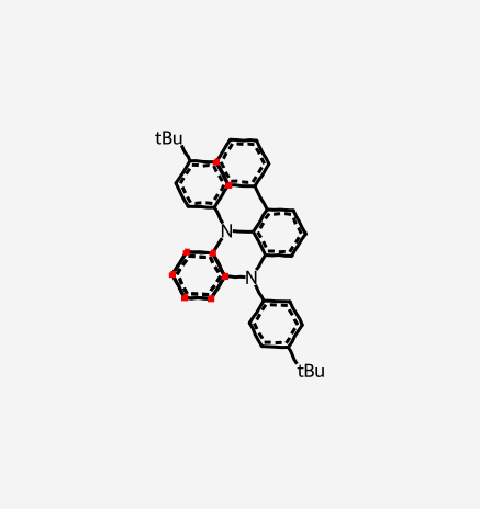 CC(C)(C)c1ccc(N(c2ccccc2)c2cccc(-c3ccccc3)c2N(c2ccccc2)c2ccc(C(C)(C)C)cc2)cc1